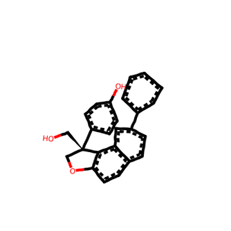 OC[C@]1(c2ccc(O)cc2)COc2ccc3ccc(-c4ccccc4)cc3c21